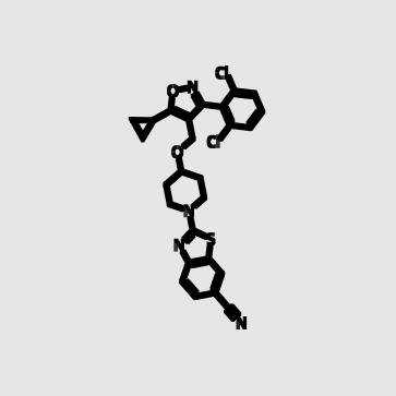 N#Cc1ccc2nc(N3CCC(OCc4c(-c5c(Cl)cccc5Cl)noc4C4CC4)CC3)sc2c1